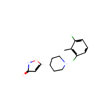 O=c1cc([C@H]2CCN[C@@H](Cc3c(F)cccc3F)C2)o[nH]1